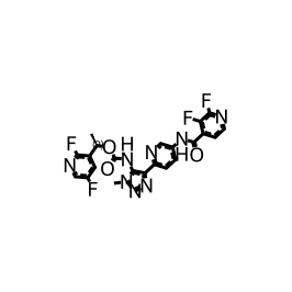 C[C@@H](OC(=O)Nc1c(-c2ccc(NC(=O)c3ccnc(F)c3F)cn2)nnn1C)c1cc(F)cnc1F